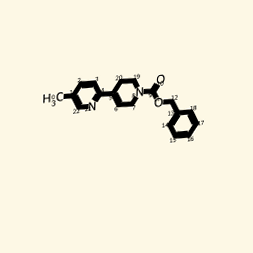 Cc1ccc(C2=CCN(C(=O)OCc3ccccc3)CC2)nc1